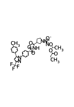 CCC(=O)OC(C)ON=[N+]([O-])N1CCC(C(=O)NS(=O)(=O)c2ccc(-n3nc(C(F)(F)F)cc3-c3ccc(C)cc3)cc2)C1